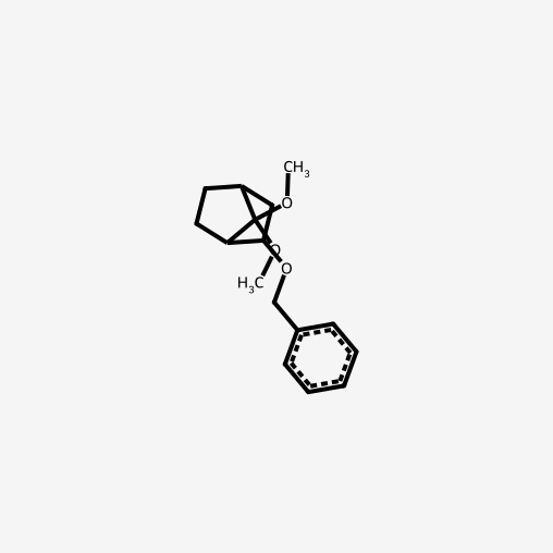 COC1(OC)C2CCC1C(OCc1ccccc1)C2